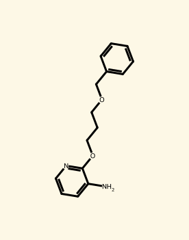 Nc1cccnc1OCCCOCc1ccccc1